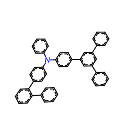 c1ccc(-c2cc(-c3ccccc3)cc(-c3ccc(N(c4ccccc4)c4ccc(-c5ccccc5-c5ccccc5)cc4)cc3)c2)cc1